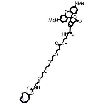 CNc1ccc2c(c1)Oc1cc(NC)ccc1C21OC(=O)c2cc(C(=O)NCCNC(=O)CCOCCOCCOCCOCCNC(=O)OC3CC/C=C/CCC3)ccc21